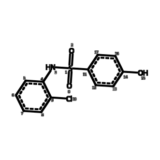 O=S(=O)(Nc1ccccc1Cl)c1ccc(O)cc1